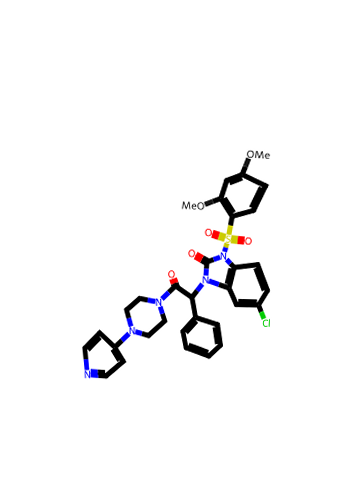 COc1ccc(S(=O)(=O)n2c(=O)n(C(C(=O)N3CCN(c4ccncc4)CC3)c3ccccc3)c3cc(Cl)ccc32)c(OC)c1